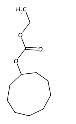 CCOC(=O)OC1CCCCCCCC1